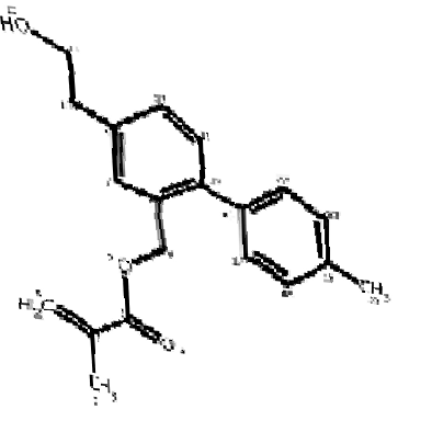 C=C(C)C(=O)OCc1cc(CCO)ccc1-c1ccc(C)cc1